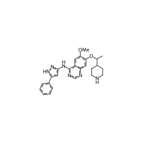 COc1cc2c(Nc3cc(-c4ccccc4)[nH]n3)ncnc2cc1OC(C)C1CCNCC1